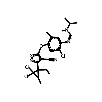 CCC1(c2nsc(Oc3cc(Cl)c(/N=C\N(C)C(C)C)cc3C)c2C#N)C(C)C1(Cl)Cl